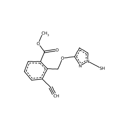 C#Cc1cccc(C(=O)OC)c1COc1ccn(S)n1